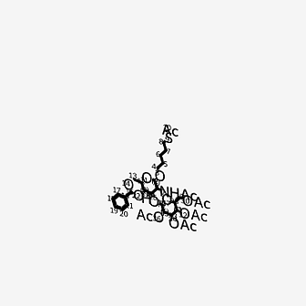 CC(=O)NC1[C@H](OCCCCCSC(C)=O)OC2COC(c3ccccc3)O[C@@H]2[C@@H]1O[C@@H]1OC(COC(C)=O)[C@H](OC(C)=O)C(OC(C)=O)[C@@H]1OC(C)=O